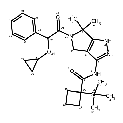 CC1(C)c2[nH]nc(NC(=O)C3([Si](C)(C)C)CCC3)c2CN1C(=O)C(OC1CC1)c1ccccc1